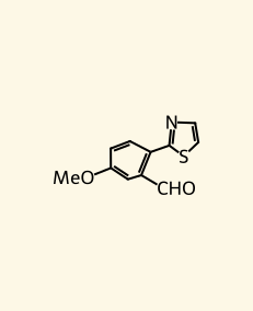 COc1ccc(-c2nccs2)c(C=O)c1